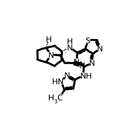 Cc1cc(Nc2nc(N[C@@H]3CCC4CC[C@@H](C3)N4CCC#N)c3scnc3n2)n[nH]1